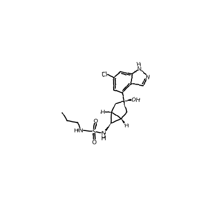 CCCNS(=O)(=O)N[C@H]1[C@@H]2C[C@](O)(c3cc(Cl)cc4[nH]ncc34)C[C@@H]21